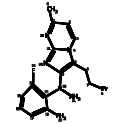 Cc1ccn2c(CCC(C)C)c(N(N)c3c(F)cccc3P)nc2n1